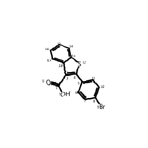 O=C(O)c1c(-c2ccc(Br)cc2)sc2ccccc12